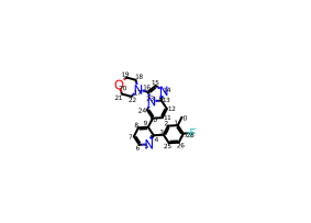 Cc1cc(-c2ncccc2-c2ccc3ncc(N4CCOCC4)n3c2)ccc1F